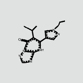 CCn1cc(-c2[nH]c3ncnn3c(=O)c2C(C)C)cn1